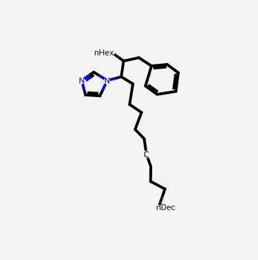 CCCCCCCCCCCCCCCCCCCC(C(CCCCCC)Cc1ccccc1)n1ccnc1